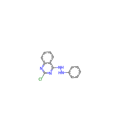 Clc1nc(NNc2ccccc2)c2ccccc2n1